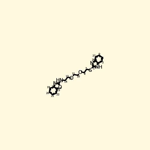 c1ccc2[nH]c(SCCOCCOCCNc3nc4ccccc4o3)nc2c1